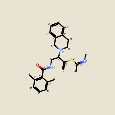 C=C(S/C(C)=N\C)C(CNC(=O)c1c(C)cccc1C)N1CCc2ccccc2C1